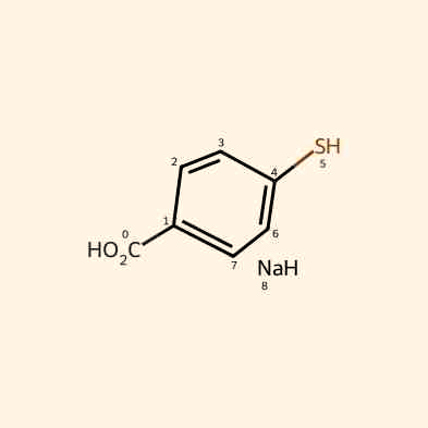 O=C(O)c1ccc(S)cc1.[NaH]